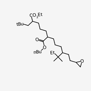 CCCCOC(=O)C(CCCC(CC(C)(C)C)C(=O)OCC)CCCC(CCC1CO1)C(C)(C)CC